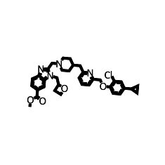 COC(=O)c1ccc2nc(CN3CCC(Cc4cccc(COc5ccc(C6CC6)cc5Cl)n4)CC3)n(CC3CCO3)c2c1